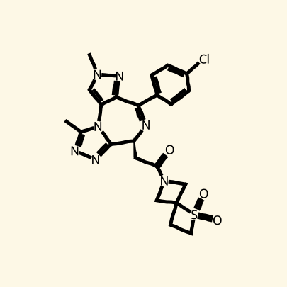 Cc1nnc2n1-c1cn(C)nc1C(c1ccc(Cl)cc1)=N[C@H]2CC(=O)N1CC2(CCS2(=O)=O)C1